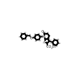 CCOC(=O)c1sc2c(ccc(=O)n2-c2ccc(OCc3ccccc3)cc2)c1-c1ccccc1